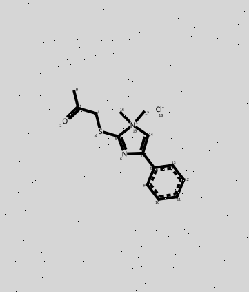 CC(=O)CSC1=NC(c2ccccc2)=C[N+]1(C)C.[Cl-]